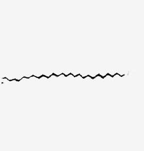 CCCCCCCCCCCCCCCCCCCCCCCCCCCCCCCCCCCCP(=O)(O)O